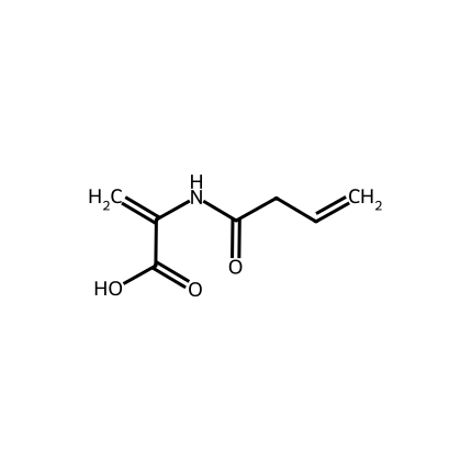 C=CCC(=O)NC(=C)C(=O)O